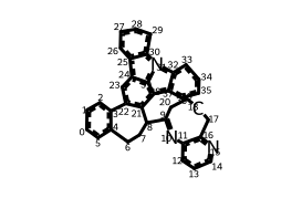 c1ccc2c(c1)CCC(/C1=N/c3cccnc3CCCC1)c1c-2cc2c3ccccc3n3c4ccccc4c1c23